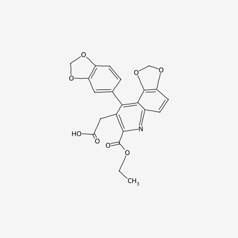 CCOC(=O)c1nc2ccc3c(c2c(-c2ccc4c(c2)OCO4)c1CC(=O)O)OCO3